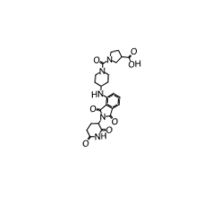 O=C1CCC(N2C(=O)c3cccc(NC4CCN(C(=O)N5CCC(C(=O)O)C5)CC4)c3C2=O)C(=O)N1